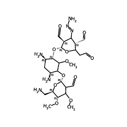 COC1C(O[C@H]2O[C@H](CN)[C@@H](OC)C(OC)C2C=O)[C@@H](N)C[C@@H](N)[C@@H]1O[C@H]1OC(CC=O)[C@@H](C=O)C(N=NN)[C@@H]1C=O